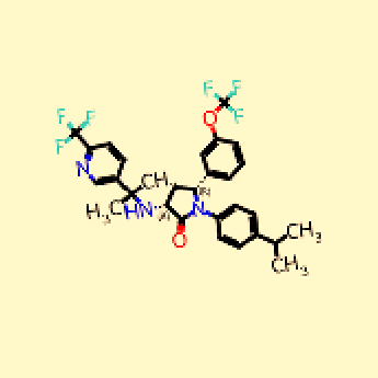 CC(C)c1ccc(N2C(=O)[C@H](NC(C)(C)c3ccc(C(F)(F)F)nc3)C[C@@H]2c2cccc(OC(F)(F)F)c2)cc1